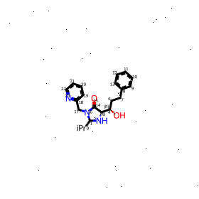 CC(C)C1N[C@@H]([C@H](O)CCc2ccccc2)C(=O)N1Cc1ccccn1